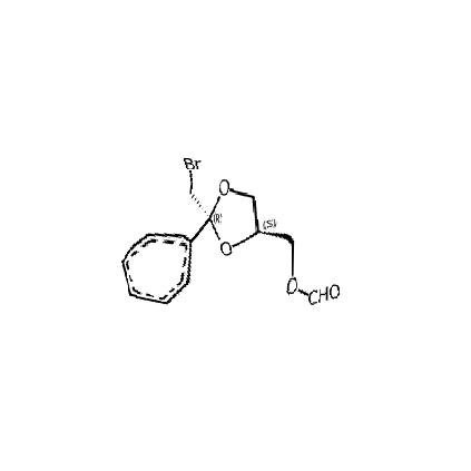 O=COC[C@@H]1CO[C@](CBr)(c2ccccc2)O1